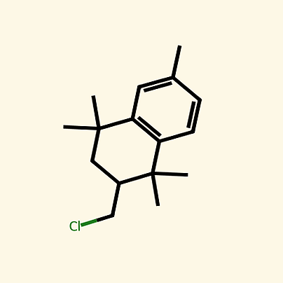 Cc1ccc2c(c1)C(C)(C)CC(CCl)C2(C)C